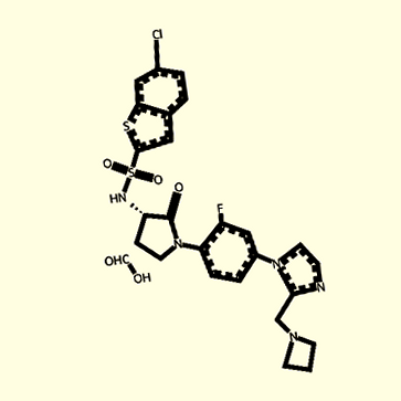 O=C1[C@@H](NS(=O)(=O)c2cc3ccc(Cl)cc3s2)CCN1c1ccc(-n2ccnc2CN2CCC2)cc1F.O=CO